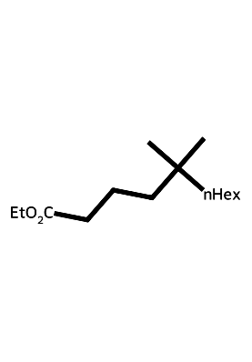 CCCCCCC(C)(C)CCCC(=O)OCC